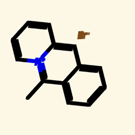 Cc1c2ccccc2cc2cccc[n+]12.[Br-]